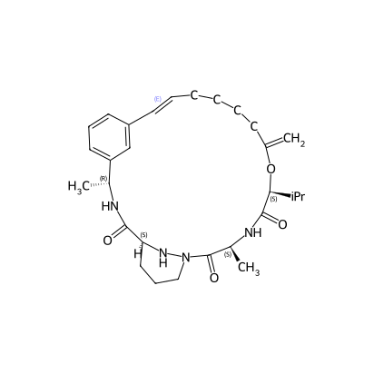 C=C1CCCC/C=C/c2cccc(c2)[C@@H](C)NC(=O)[C@@H]2CCCN(N2)C(=O)[C@H](C)NC(=O)[C@H](C(C)C)O1